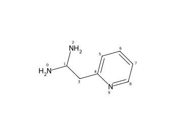 NC(N)Cc1ccccn1